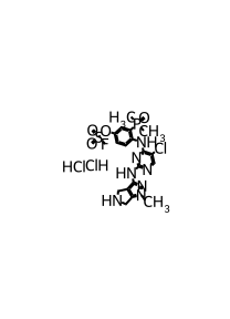 Cl.Cl.Cn1nc(Nc2ncc(Cl)c(Nc3ccc(OS(=O)(=O)F)cc3P(C)(C)=O)n2)c2c1CNC2